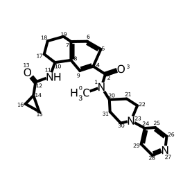 CN(C(=O)c1ccc2c(c1)C(NC(=O)C1CC1)CCC2)C1CCN(c2ccncc2)CC1